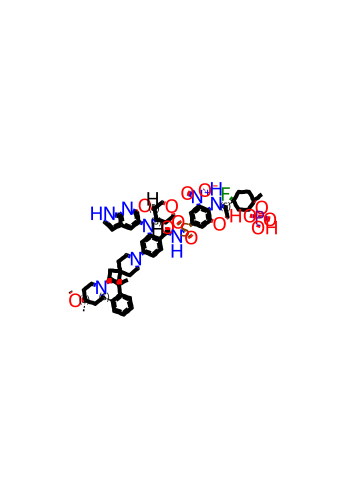 CO[C@@]1(C)CCN(C2CC3(CCN(c4ccc(C(=O)NS(=O)(=O)c5cc6c(c([N+](=O)[O-])c5)N[C@H](C5(F)CCC(C)(OP(=O)(O)O)CC5)CO6)c(N5c6cc7cc[nH]c7nc6O[C@H]6COCC[C@@H]65)c4)CC3)C2)[C@H](c2ccccc2C(C)C)C1